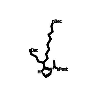 CCCCCCCCCCCCCCCCCCC(CCCCCCCCCCCCC)c1[nH]cc[n+]1C(C)CCCCC